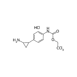 Cl.NC1CC1c1ccc(NC(=O)OCC(Cl)(Cl)Cl)cc1